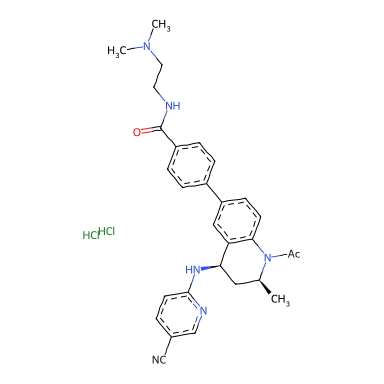 CC(=O)N1c2ccc(-c3ccc(C(=O)NCCN(C)C)cc3)cc2[C@H](Nc2ccc(C#N)cn2)C[C@@H]1C.Cl.Cl